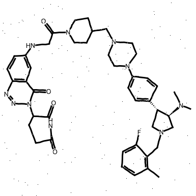 Cc1cccc(F)c1CN1C[C@H](c2ccc(N3CCN(CC4CCN(C(=O)CNc5ccc6nnn(C7CCC(=O)NC7=O)c(=O)c6c5)CC4)CC3)cc2)[C@@H](N(C)C)C1